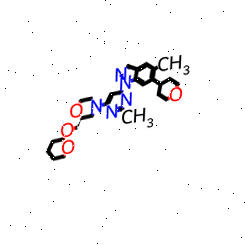 Cc1nc(N2CCO[C@@H](COC3CCCCO3)C2)cc(-n2ncc3cc(C)c(C4CCOCC4)cc32)n1